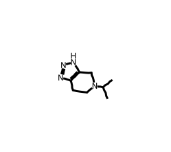 CC(C)N1CCc2nn[nH]c2C1